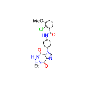 CCNC(=O)c1ncn(-c2ccc(NC(=O)c3cccc(OC)c3Cl)cc2)c1C(N)=O